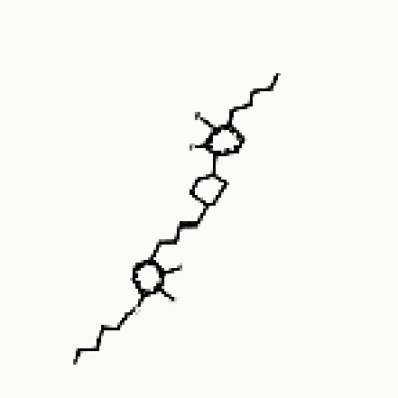 CCCCCCOc1ccc(CC/C=C/C2CCC(c3ccc(CCCCC)c(F)c3F)CC2)c(F)c1F